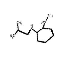 CNC1CCCCC1NCC(C)C